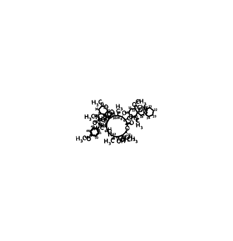 CC[C@H]1OC(=O)[C@H](C)[C@@H](O[C@H]2C[C@@](C)(OC)[C@](O)(CN3CCCCC3)[C@H](C)O2)[C@H](C)[C@@H](O[C@H]2O[C@@H](C)C[C@@H](N(C)S(=O)(=O)Nc3ccc(OC)cc3)[C@@H]2O)[C@](C)(O)C[C@@H](C)CN[C@H](C)[C@@H](O)[C@]1(C)O